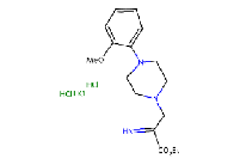 CCOC(=O)C(=N)CN1CCN(c2ccccc2OC)CC1.Cl.Cl.Cl